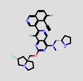 C#Cc1c(F)ccc2cncc(-c3ncc4c(N(C)C[C@@H]5CCCN5)nc(OC[C@@]56CCCN5C[C@H](F)C6)nc4c3F)c12